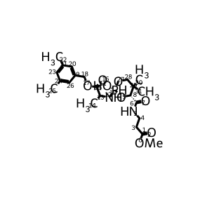 COC(=O)CCNC(=O)[C@@H]1O[PH](O)(NC(C)C(=O)OCc2cc(C)cc(C)c2)OCC1(C)C